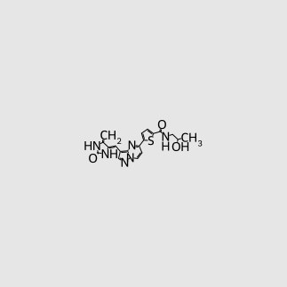 C=c1[nH]c(=O)[nH]/c1=C\c1cnn2ccc(-c3ccc(C(=O)NCC(C)O)s3)nc12